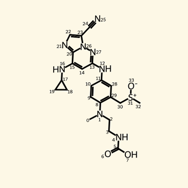 CN(CCNC(=O)O)c1ccc(Nc2cc(NC3CC3)c3ncc(C#N)n3n2)cc1C[S+](C)[O-]